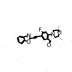 C[C@@H]1CN(c2cc(F)c(C#Cc3nc4ccccc4o3)cc2C=O)C[C@H](C)O1